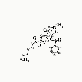 CCCCCCS(=O)(=O)c1nnc([N+]2([O-])CN(C)CC2OC(=O)c2cccnc2)s1